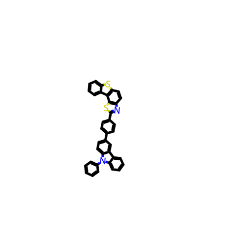 c1ccc(-n2c3ccccc3c3cc(-c4ccc(-c5nc6ccc7sc8ccccc8c7c6s5)cc4)ccc32)cc1